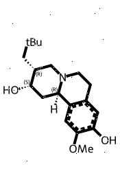 COc1cc2c(cc1O)CCN1C[C@@H](CC(C)(C)C)[C@@H](O)C[C@H]21